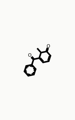 CC1C(=O)C=CC=C1C(=O)c1ccccc1